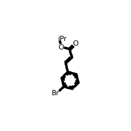 CC(C)OC(=O)C=Cc1cccc(Br)c1